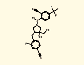 N#Cc1ccc(O[C@H]2CN([S+]([O-])c3ccc(C(F)(F)F)cc3C#N)CC2(O)CO)c(F)c1